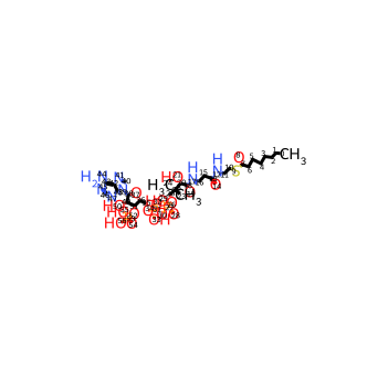 CCCCCCCC(=O)SCCNC(=O)CCNC(=O)C(O)C(C)(C)COP(=O)(O)OP(=O)(O)OCC1OC(n2cnc3c(N)ncnc32)C(O)C1OP(=O)(O)O